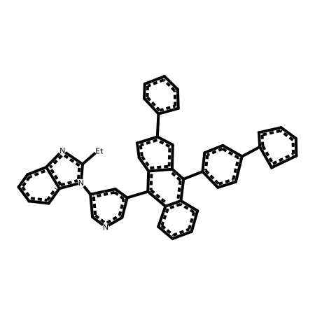 CCc1nc2ccccc2n1-c1cncc(-c2c3ccccc3c(-c3ccc(-c4ccccc4)cc3)c3cc(-c4ccccc4)ccc23)c1